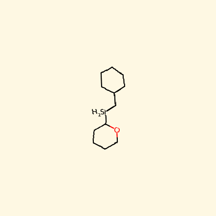 C1CCC(C[SiH2]C2CCCCO2)CC1